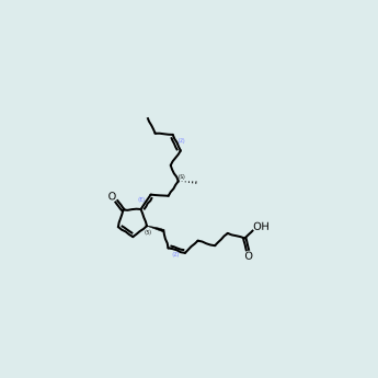 CC/C=C\C[C@H](C)C/C=C1/C(=O)C=C[C@@H]1C/C=C\CCCC(=O)O